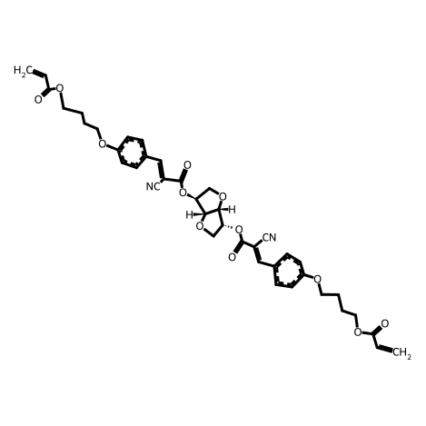 C=CC(=O)OCCCCOc1ccc(/C=C(\C#N)C(=O)O[C@H]2CO[C@H]3[C@@H]2OC[C@H]3OC(=O)/C(C#N)=C/c2ccc(OCCCCOC(=O)C=C)cc2)cc1